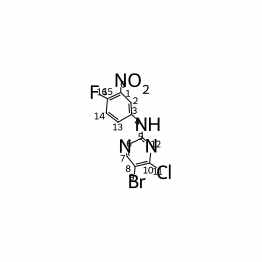 O=[N+]([O-])c1cc(Nc2ncc(Br)c(Cl)n2)ccc1F